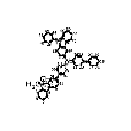 CC1(C)c2ccccc2-c2ccc(-c3cnc(N(c4ccc(-c5ccccc5)cc4)c4ccc5c(c4)c4ccccc4n5-c4ccccc4)nc3)cc21